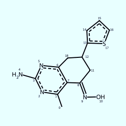 Cc1nc(N)nc2c1C(=NO)CC(c1cccs1)C2